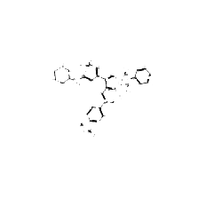 NS(=O)(=O)c1ccc(-c2cnc3c(c2)c(-c2cc(Cl)nc(NC4CCCCC4)c2)cn3S(=O)(=O)c2ccccc2)cc1